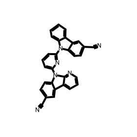 N#Cc1ccc2c(c1)c1ccccc1n2-c1cccc(-n2c3ccc(C#N)cc3c3cccnc32)n1